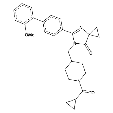 COc1ccccc1-c1ccc(C2=NC3(CC3)C(=O)N2CC2CCN(C(=O)C3CC3)CC2)cc1